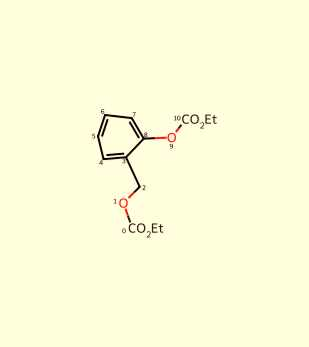 CCOC(=O)OCc1ccccc1OC(=O)OCC